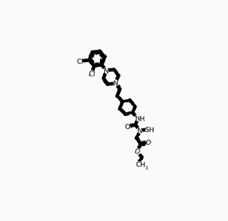 CCOC(=O)CN(S)C(=O)NC1CCC(CCN2CCN(c3cccc(Cl)c3Cl)CC2)CC1